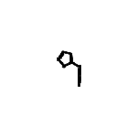 S=C=Nc1ccns1